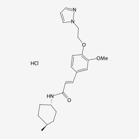 COc1cc(C=CC(=O)N[C@H]2CC[C@H](C)CC2)ccc1OCCn1cccn1.Cl